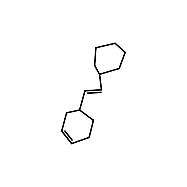 C1=CCC(C=CC2CCCCC2)CC1